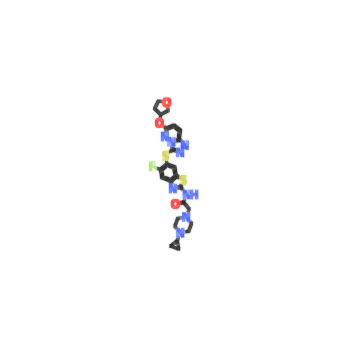 O=C(CN1CCN(C2CC2)CC1)Nc1nc2cc(F)c(Sc3nnc4ccc(OC5CCOC5)nn34)cc2s1